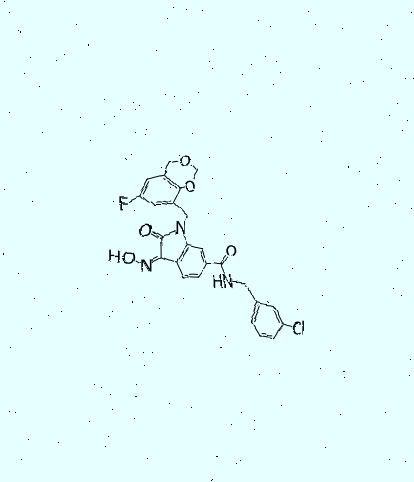 O=C(NCc1cccc(Cl)c1)c1ccc2c(c1)N(Cc1cc(F)cc3c1OCOC3)C(=O)/C2=N\O